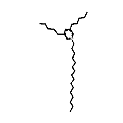 CCCCCCCCCCCCCCCC[n+]1cc(CCCCC)cc(CCCCC)c1